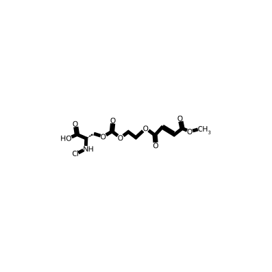 COC(=O)/C=C/C(=O)OCCOC(=O)OC[C@H](NCl)C(=O)O